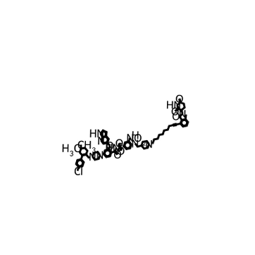 CC1(C)CCC(CN2CCN(c3ccc(C(=O)NS(=O)(=O)c4ccc(NCC5CCN(CCCCCCCCC#Cc6cccc7c6C(=O)N(C6CCC(=O)NC6=O)C7)CC5)c([N+](=O)[O-])c4)c(Oc4cnc5[nH]ccc5c4)c3)CC2)=C(c2ccc(Cl)cc2)C1